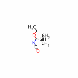 CCOC(N=C=O)[SiH](C)C